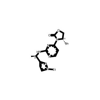 CCn1ccc([C@@H](C)Nc2nccc(N3C(=O)OC[C@@H]3C(C)C)n2)n1